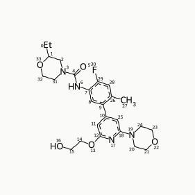 CCC1CN(C(=O)Nc2cc(-c3cc(OCCO)nc(N4CCOCC4)c3)c(C)cc2F)CCO1